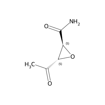 CC(=O)[C@H]1O[C@@H]1C(N)=O